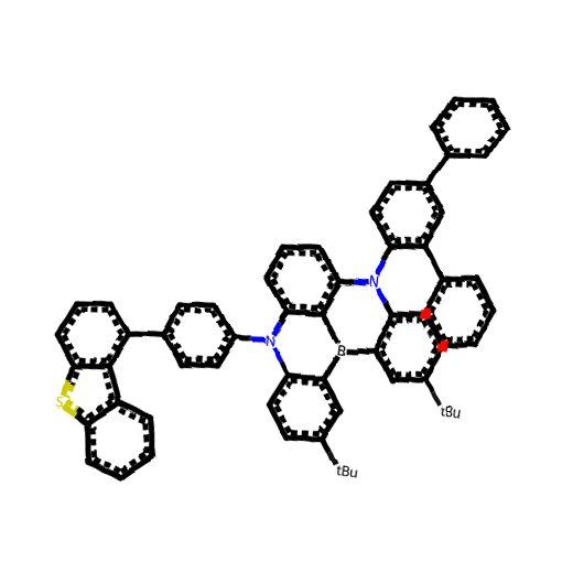 CC(C)(C)c1ccc2c(c1)B1c3cc(C(C)(C)C)ccc3N(c3ccc(-c4ccccc4)cc3-c3ccccc3)c3cccc(c31)N2c1ccc(-c2cccc3sc4ccccc4c23)cc1